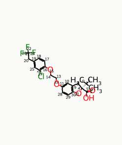 CC(C)(C)[C@@]1(C(=O)O)Cc2cc(OCCOc3ccc(CC(F)(F)F)cc3Cl)ccc2O1